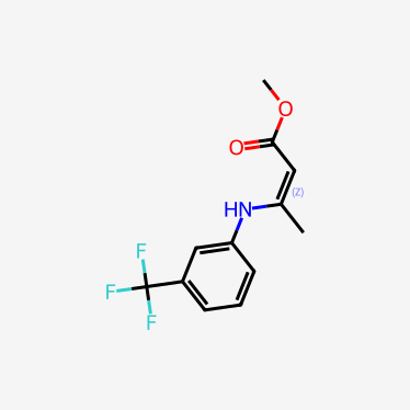 COC(=O)/C=C(/C)Nc1cccc(C(F)(F)F)c1